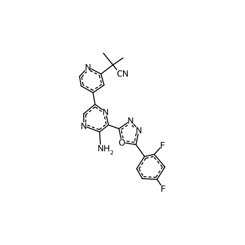 CC(C)(C#N)c1cc(-c2cnc(N)c(-c3nnc(-c4ccc(F)cc4F)o3)n2)ccn1